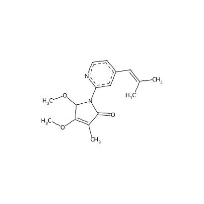 COC1=C(C)C(=O)N(c2cc(C=C(C)C)ccn2)C1OC